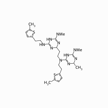 CNC1=NC(CCN(CCc2ccc(C)s2)C2=NC(C)N=C(NC)N2)N=C(NCCc2ccc(C)s2)N1